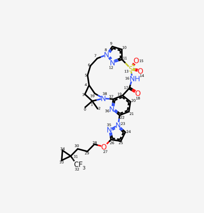 CC1(C)CC2CCCn3ccc(n3)S(=O)(=O)NC(=O)c3ccc(-n4ccc(OCCCC5(C(F)(F)F)CC5)n4)nc3N1C2